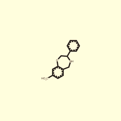 O=C(O)c1ccc2c(c1)OCC(c1ccccc1)NC2